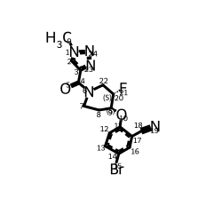 Cn1cc(C(=O)N2CC[C@H](Oc3ccc(Br)cc3C#N)[C@@H](F)C2)nn1